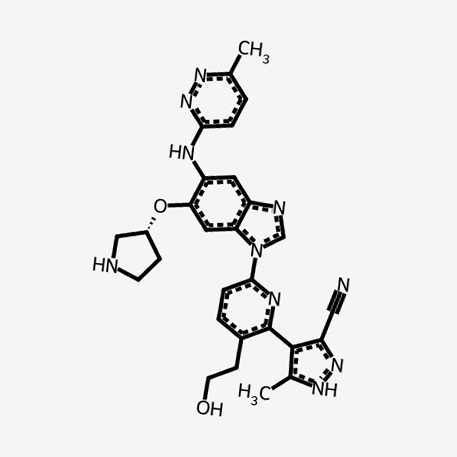 Cc1ccc(Nc2cc3ncn(-c4ccc(CCO)c(-c5c(C#N)n[nH]c5C)n4)c3cc2O[C@@H]2CCNC2)nn1